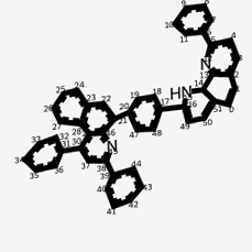 C1=Cc2ccc(-c3ccccc3)nc2C2NC(c3ccc(-c4cc5ccccc5c5c(-c6ccccc6)cc(-c6ccccc6)nc45)cc3)=CC=C12